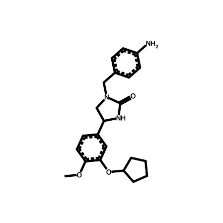 COc1ccc(C2CN(Cc3ccc(N)cc3)C(=O)N2)cc1OC1CCCC1